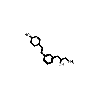 NCC(O)Cc1cccc(CCC2CCC(O)CC2)c1